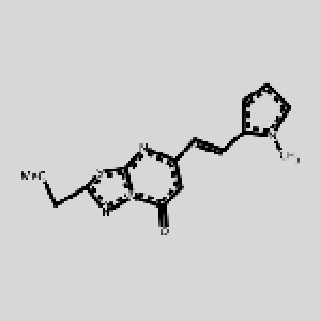 COCc1nn2c(=O)cc(/C=C/c3cccn3C)nc2s1